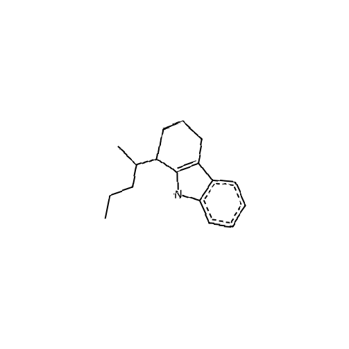 CCCC(C)C1CCCC2=C1[N]c1ccccc12